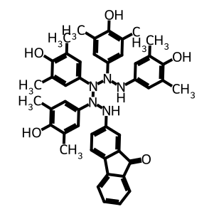 Cc1cc(NN(c2cc(C)c(O)c(C)c2)N(c2cc(C)c(O)c(C)c2)N(Nc2ccc3c(c2)C(=O)c2ccccc2-3)c2cc(C)c(O)c(C)c2)cc(C)c1O